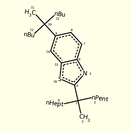 CCCCCCCC(C)(CCCCC)c1nc2ccc(C(C)(CCCC)CCCC)cc2s1